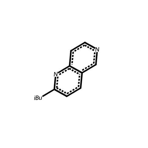 CCC(C)c1ccc2cnccc2n1